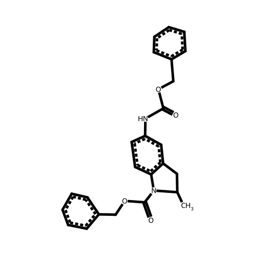 CC1Cc2cc(NC(=O)OCc3ccccc3)ccc2N1C(=O)OCc1ccccc1